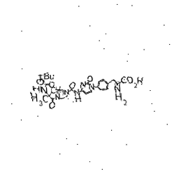 CC(C)(C)OC(=O)NC(C)(C)C(=O)N1CCN(C(=O)Nc2ccn(-c3ccc(C[C@H](N)C(=O)O)cc3)c(=O)n2)CC1